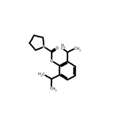 CC(C)c1cccc(C(C)C)c1OC(=O)N1CCCC1